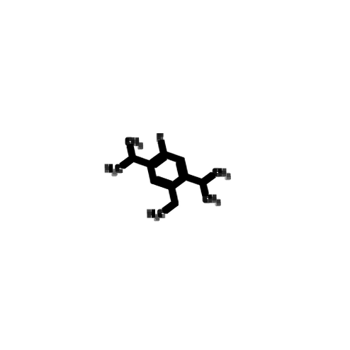 CCc1cc(C(C)C)c(F)cc1C(C)C